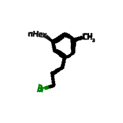 CCCCCCc1cc(C)cc(CCCBr)c1